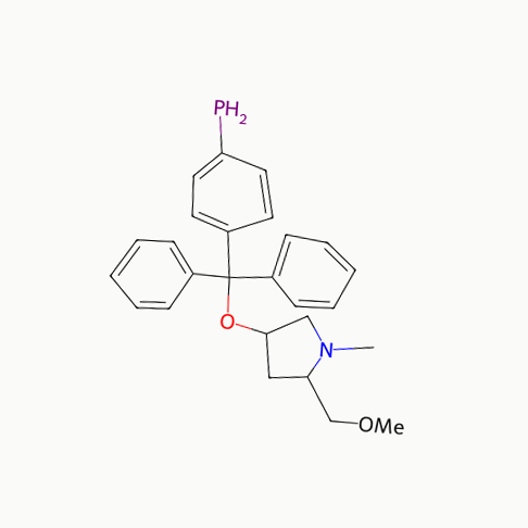 COCC1CC(OC(c2ccccc2)(c2ccccc2)c2ccc(P)cc2)CN1C